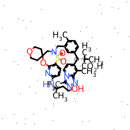 Cc1ccc([C@@H](c2ccn3c(C(F)(F)F)nnc3c2C)C(C)(C)C(=O)O)cc1CN1CC2(CCOCC2)Oc2nc(N[C@H](C)CCO)ccc2S1(=O)=O